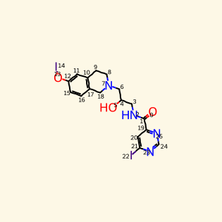 O=C(NCC(O)CN1CCc2cc(OI)ccc2C1)c1cc(I)ncn1